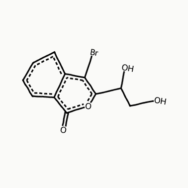 O=c1oc(C(O)CO)c(Br)c2ccccc12